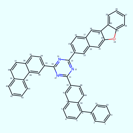 c1ccc(-c2cccc3cc(-c4nc(-c5ccc6cc7c(cc6c5)oc5ccccc57)nc(-c5ccc6ccc7ccccc7c6c5)n4)ccc23)cc1